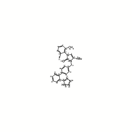 CCCCc1cn(-c2c(C)cccc2F)c(=O)n1Cc1ccc(-c2ncccc2-c2nnn[nH]2)cc1